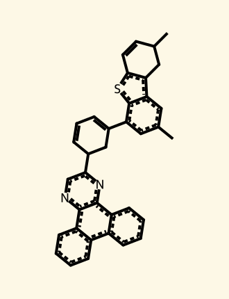 Cc1cc(C2=CC=CC(c3cnc4c5ccccc5c5ccccc5c4n3)C2)c2sc3c(c2c1)CC(C)C=C3